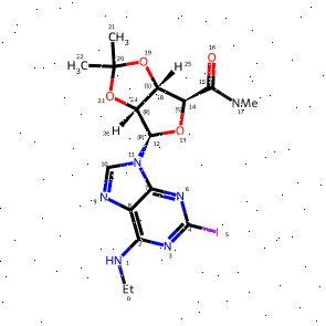 CCNc1nc(I)nc2c1ncn2[C@@H]1O[C@H](C(=O)NC)[C@H]2OC(C)(C)O[C@H]21